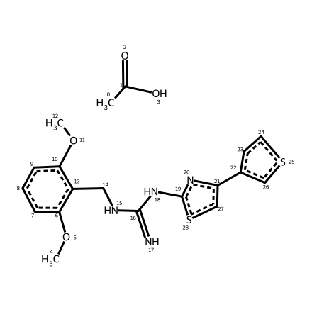 CC(=O)O.COc1cccc(OC)c1CNC(=N)Nc1nc(-c2ccsc2)cs1